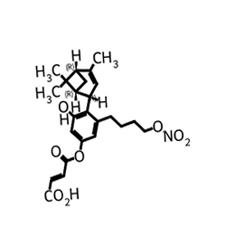 CC1=C[C@H](c2c(O)cc(OC(=O)C=CC(=O)O)cc2CCCCO[N+](=O)[O-])[C@H]2C[C@@H]1C2(C)C